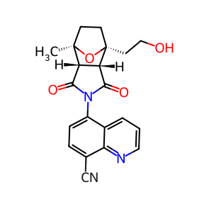 C[C@]12CC[C@](CCO)(O1)[C@@H]1C(=O)N(c3ccc(C#N)c4ncccc34)C(=O)[C@@H]12